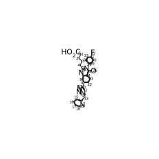 O=C(O)CCCCc1nc2cc(-c3cn(Cc4ccccn4)nn3)ccc2c(=O)n1-c1ccc(F)cc1